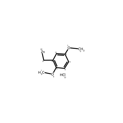 COc1ccc(OC)c([CH2][Zn])c1.Cl